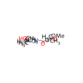 COC(=O)C(C)(C)c1ccc(C(=O)CCCN2CCC(CC(C)(C)[Si](C)(C)O)CC2)cc1